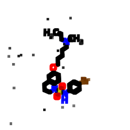 C=CCN(C)CCCCCOc1ccc2c(c1)CCCN2S(=O)(=O)Nc1ccc(Br)cc1